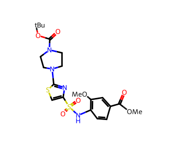 COC(=O)c1ccc(NS(=O)(=O)c2csc(N3CCN(C(=O)OC(C)(C)C)CC3)n2)c(OC)c1